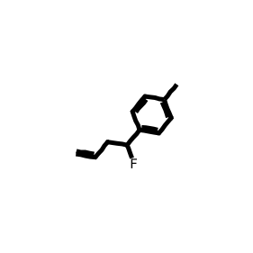 C=CCC(F)c1ccc(C)cc1